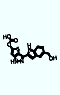 O=C(O)Oc1cc2[nH]nc(-c3cc4cc(CO)ccc4[nH]3)c2s1